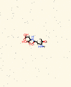 CNC(CCC(=O)NC(CC(=O)O)C(=O)O)C(C)=O